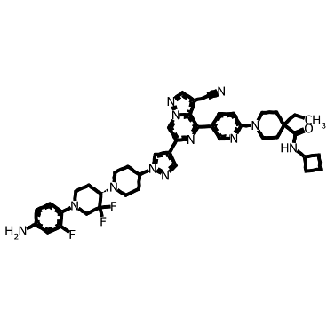 CCC1(C(=O)NC2CCC2)CCN(c2ccc(-c3nc(-c4cnn(C5CCN([C@H]6CCN(c7ccc(N)cc7F)CC6(F)F)CC5)c4)cn4ncc(C#N)c34)cn2)CC1